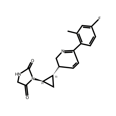 Cc1cc(F)ccc1C1=NCC([C@@H]2C[C@H]2N2C(=O)CNC2=O)C=C1